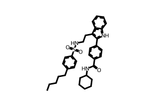 CCCCCc1ccc(S(=O)(=O)NCCc2c(-c3ccc(C(=O)NC4CCCCC4)cc3)[nH]c3ccccc23)cc1